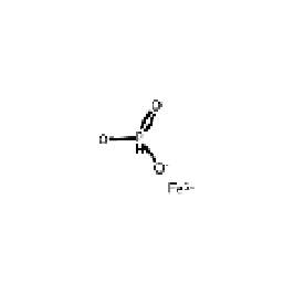 O=[PH]([O-])[O-].[Fe+2]